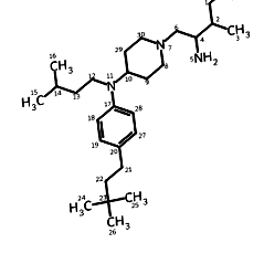 CCC(C)C(N)CN1CCC(N(CCC(C)C)c2ccc(CCC(C)(C)C)cc2)CC1